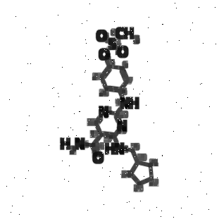 CS(=O)(=O)Oc1ccc(Nc2ncc(C(N)=O)c(NCC3CCCC3)n2)cc1